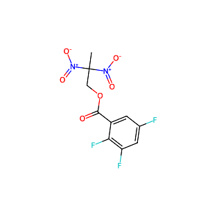 CC(COC(=O)c1cc(F)cc(F)c1F)([N+](=O)[O-])[N+](=O)[O-]